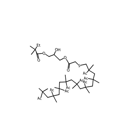 CCC(C)(C)C(=O)OCC(O)COC(=O)CSCC(C)(CC(C)(CC(C)(CC(C)(CC(C)(CC(C)(CC(C)(CC(C)(C)C(C)=O)C(C)=O)C(C)=O)C(C)=O)C(C)=O)C(C)=O)C(C)=O)C(C)=O